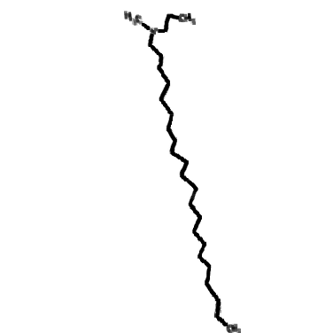 CCCCCCCCCCCCCCCCCCCCCC[S+](C)CCC